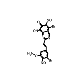 NOc1cc(/C=C/c2ncc3c(Br)c(N=O)c(=O)c(N=O)c-3s2)cc(Br)c1N=O